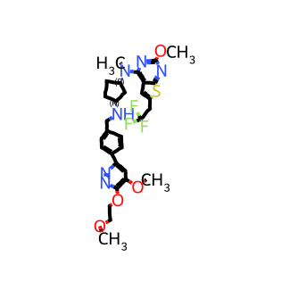 COCCOc1nnc(-c2ccc(CN[C@@H]3CC[C@H](N(C)c4nc(OC)nc5sc(CC(F)(F)F)cc45)C3)cc2)cc1OC